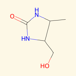 CC1NC(=O)NC1CO